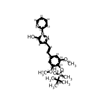 COc1cc(/C=C/c2cc(O)n(-c3ccccn3)n2)cc(OC)c1O[Si](C)(C)C(C)(C)C